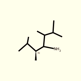 CC(C)C(C)C(N)[C@@H](C)C(C)C